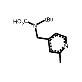 Cc1cc(CN(C(=O)O)C(C)(C)C)ccn1